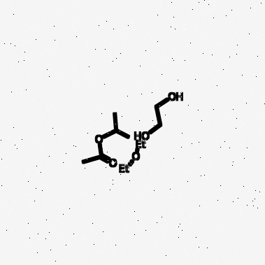 CC(=O)OC(C)C.CCOCC.OCCO